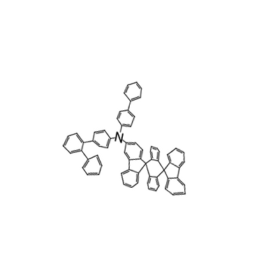 c1ccc(-c2ccc(N(c3ccc(-c4ccccc4-c4ccccc4)cc3)c3ccc4c(c3)-c3ccccc3C43c4ccccc4C4(c5ccccc5-c5ccccc54)c4ccccc43)cc2)cc1